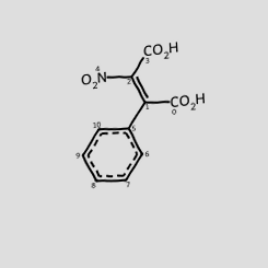 O=C(O)C(=C(C(=O)O)[N+](=O)[O-])c1ccccc1